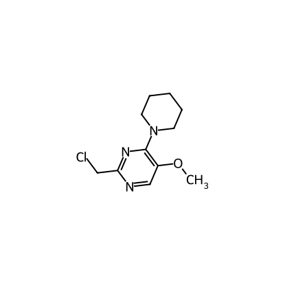 COc1cnc(CCl)nc1N1CCCCC1